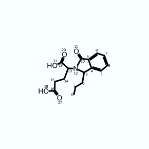 CCCC1c2ccccc2C(=O)N1C(CCC(=O)O)C(=O)O